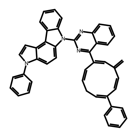 C=C1/C=C\C(c2ccccc2)=C/C/C=C\C(c2nc(-n3c4ccccc4c4c5ccn(-c6ccccc6)c5ccc43)nc3ccccc23)=C/1